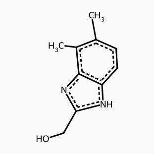 Cc1ccc2[nH]c(CO)nc2c1C